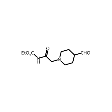 CCOC(=O)NC(=O)CN1CCC(C=O)CC1